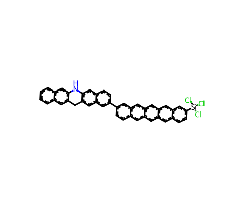 Cl[Si](Cl)(Cl)c1ccc2cc3cc4cc5ccc(-c6ccc7cc8c(cc7c6)Cc6cc7ccccc7cc6N8)cc5cc4cc3cc2c1